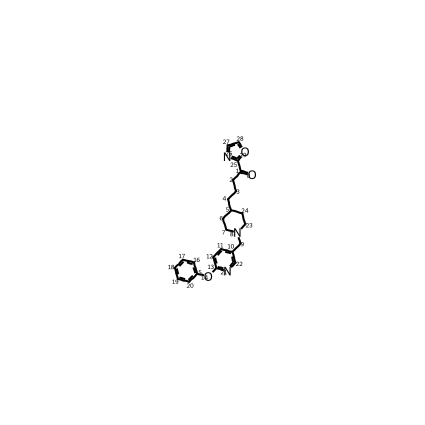 O=C(CCCC1CCN(Cc2ccc(Oc3ccccc3)nc2)CC1)c1ncco1